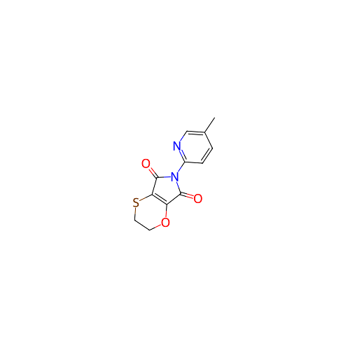 Cc1ccc(N2C(=O)C3=C(SCCO3)C2=O)nc1